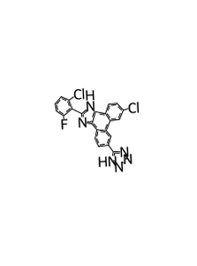 Fc1cccc(Cl)c1-c1nc2c3ccc(-c4nnn[nH]4)cc3c3cc(Cl)ccc3c2[nH]1